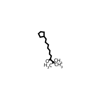 CC(C)(C)C(=O)CCCCCCCC1CCCC1